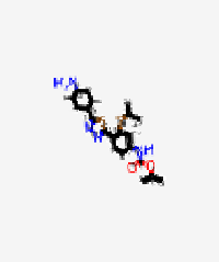 CC(C)OC(=O)Nc1ccc(-c2nnc(C3CCC(N)CC3)s2)c(SC(C)C)c1